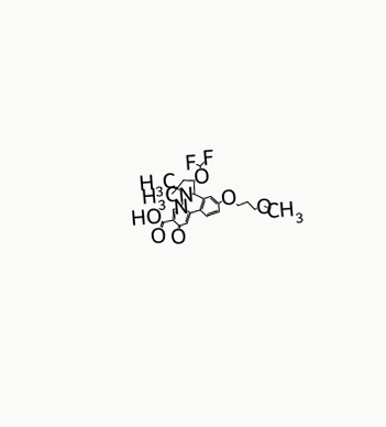 COCCCOc1ccc2c(c1)C1C(OC(F)F)CC(C)(C)N1n1cc(C(=O)O)c(=O)cc1-2